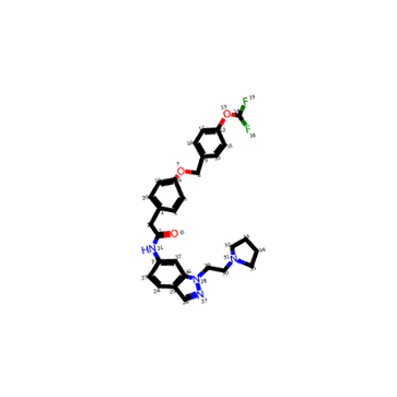 O=C(Cc1ccc(OCc2ccc(OC(F)F)cc2)cc1)Nc1ccc2cnn(CCN3CCCC3)c2c1